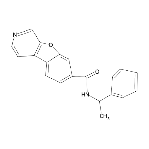 CC(NC(=O)c1ccc2c(c1)oc1cnccc12)c1ccccc1